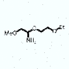 CCOCCOC(N)COC